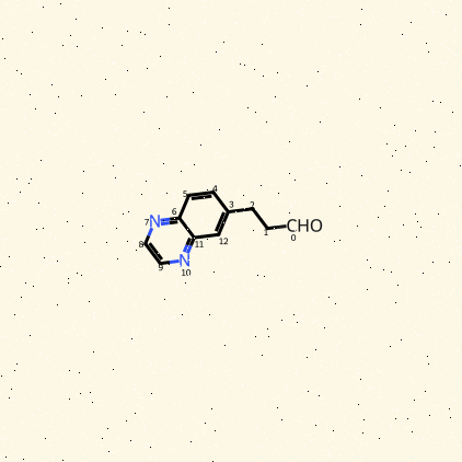 O=CCCc1ccc2nccnc2c1